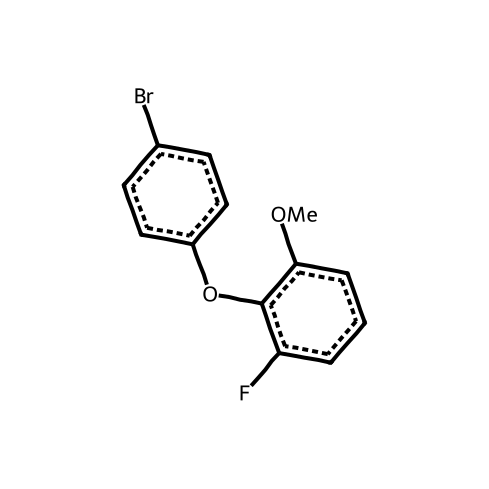 COc1cccc(F)c1Oc1ccc(Br)cc1